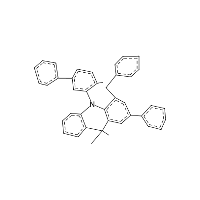 Cc1ccc(-c2ccccc2)cc1N1c2ccccc2C(C)(C)c2cc(-c3ccccc3)cc(Cc3ccccc3)c21